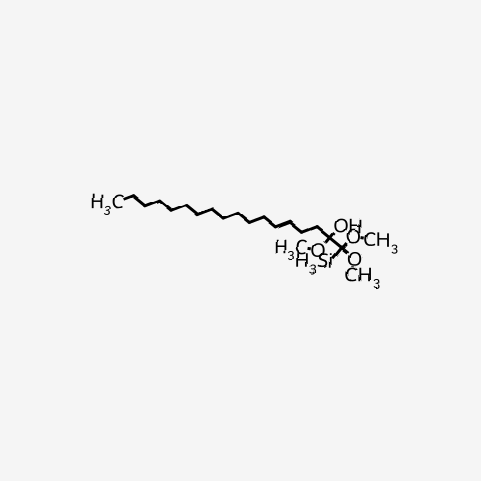 CCCCCCCCCCCCCCCCC(O)(OC)C([SiH3])(OC)OC